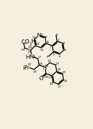 Cc1cccc(C)c1-c1cncc([C@H](CC(=O)O)NCC(CC(C)C)N2CCc3ccccc3C2=O)c1